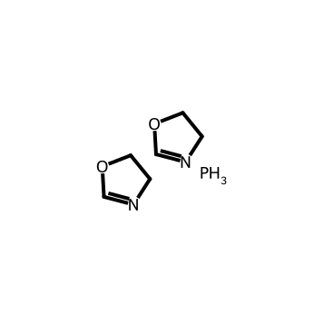 C1=NCCO1.C1=NCCO1.P